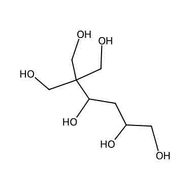 OCC(O)CC(O)C(CO)(CO)CO